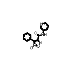 O=C(Nc1cccnc1)c1no[n+]([O-])c1-c1ccccc1